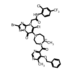 CCc1c(N2CC[C@@H](C)N(C(=O)c3ncnc(C)c3OCc3ccccc3)CC2)c(=O)n2nc(Br)nc2n1CC(=O)Nc1ccc(C(F)(F)F)cc1Cl